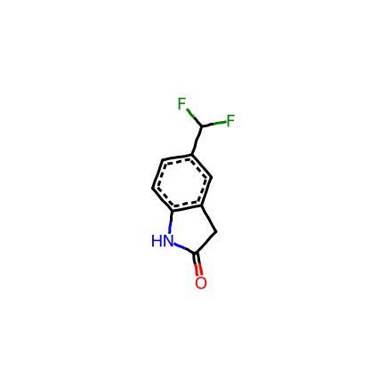 O=C1Cc2cc(C(F)F)ccc2N1